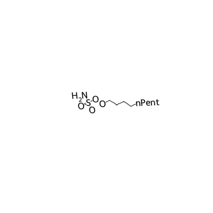 CCCCCCCCCOOS(N)(=O)=O